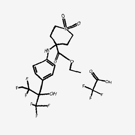 CCOC(=O)C1(Nc2ccc(C(O)(C(F)(F)F)C(F)(F)F)cc2)CCS(=O)(=O)CC1.O=C(O)C(F)(F)F